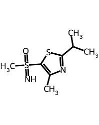 Cc1nc(C(C)C)sc1S(C)(=N)=O